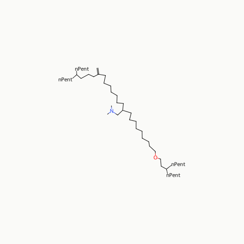 C=C(CCCCCCCC(CCCCCCCCCOCCC(CCCCC)CCCCC)CN(C)C)CCCC(CCCCC)CCCCC